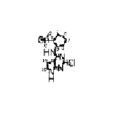 CP(C)(=O)c1ccccc1Nc1nc(Cl)nc2[nH]ccc12